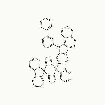 c1ccc(-c2cccc(-n3c4cc5c(cc4c4ccc6ccccc6c43)-c3ccccc3C53c4ccccc4C4(c5ccccc5-c5ccccc54)c4ccccc43)c2)cc1